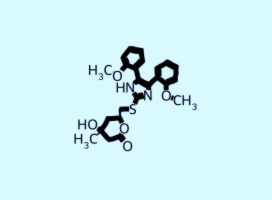 COc1ccccc1-c1nc(SC[C@@H]2C[C@](C)(O)CC(=O)O2)[nH]c1-c1ccccc1OC